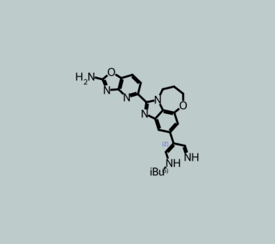 CC[C@H](C)N/C=C(\C=N)c1cc2c3c(c1)nc(-c1ccc4oc(N)nc4n1)n3CCCO2